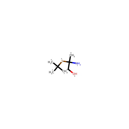 CC(C)(C)SC(C)(N)CO